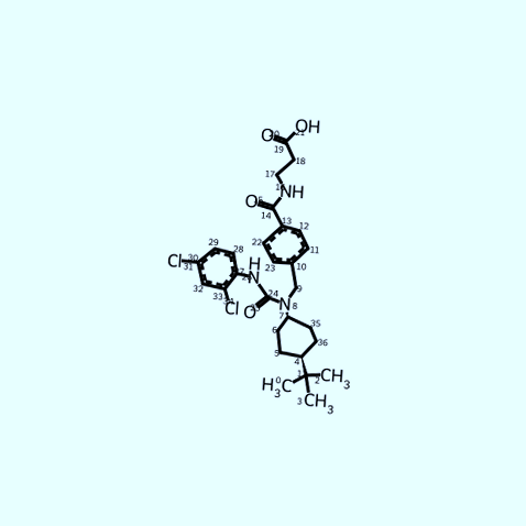 CC(C)(C)[C@H]1CC[C@H](N(Cc2ccc(C(=O)NCCC(=O)O)cc2)C(=O)Nc2ccc(Cl)cc2Cl)CC1